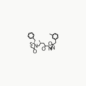 Cc1cccc(Cc2nnc(C(=O)C[C@H](C)CN3C(=O)CS[C@H]3Cc3ccccc3)o2)c1